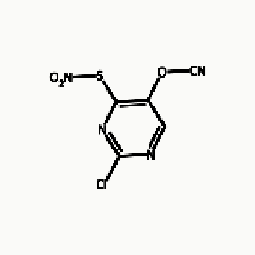 N#COc1cnc(Cl)nc1S[N+](=O)[O-]